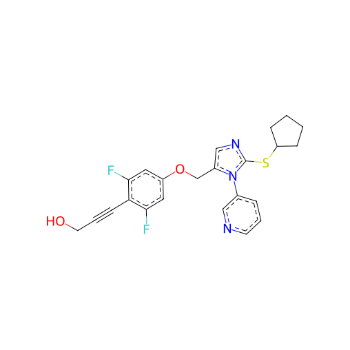 OCC#Cc1c(F)cc(OCc2cnc(SC3CCCC3)n2-c2cccnc2)cc1F